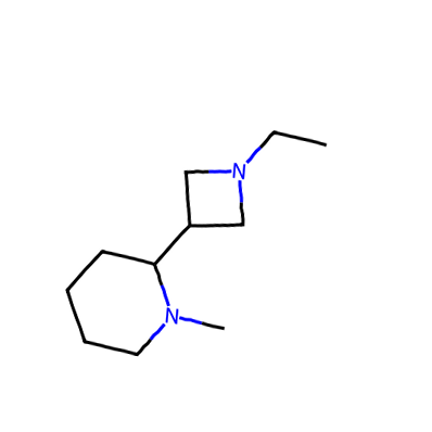 CCN1CC(C2CCCCN2C)C1